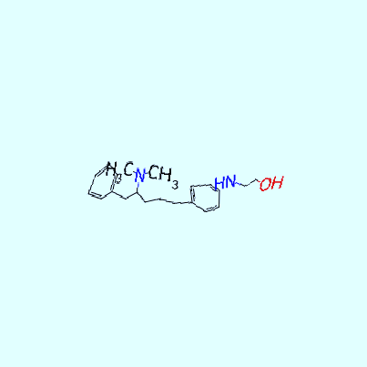 CN(C)C(CCCc1ccc(NCCO)cc1)Cc1ccccc1